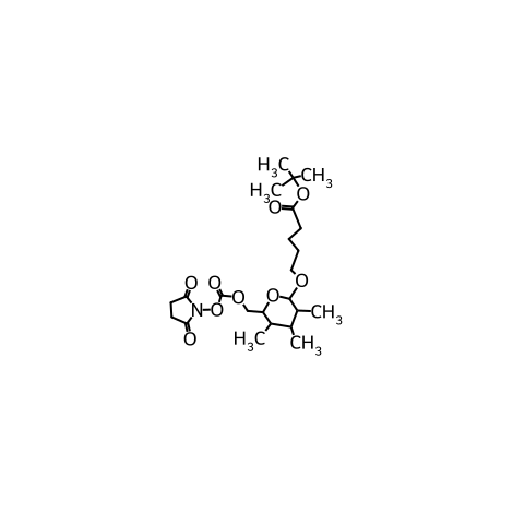 CC1C(COC(=O)ON2C(=O)CCC2=O)OC(OCCCCC(=O)OC(C)(C)C)C(C)C1C